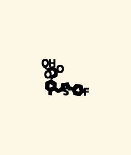 Cc1ccc([C@H]2CC(=O)C[C@@H](CO)O2)cc1Cc1ccc(-c2ccc(F)cc2)s1